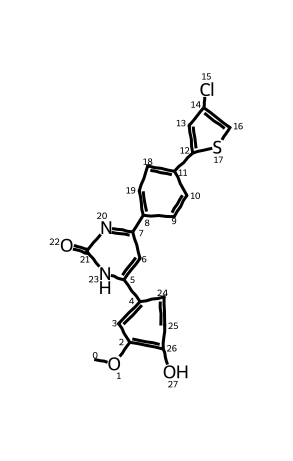 COc1cc(-c2cc(-c3ccc(-c4cc(Cl)cs4)cc3)nc(=O)[nH]2)ccc1O